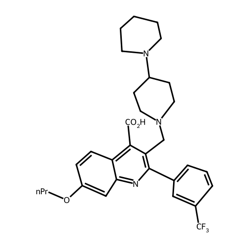 CCCOc1ccc2c(C(=O)O)c(CN3CCC(N4CCCCC4)CC3)c(-c3cccc(C(F)(F)F)c3)nc2c1